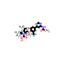 CC(=O)Nc1cc(-c2ccc(OCC(C)(CC(C)C)N(C(=O)O)C(C)(C)C)c(C(F)(F)F)c2)ncn1